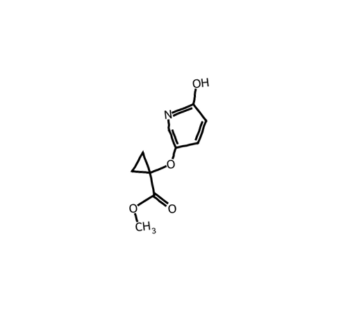 COC(=O)C1(Oc2ccc(O)nc2)CC1